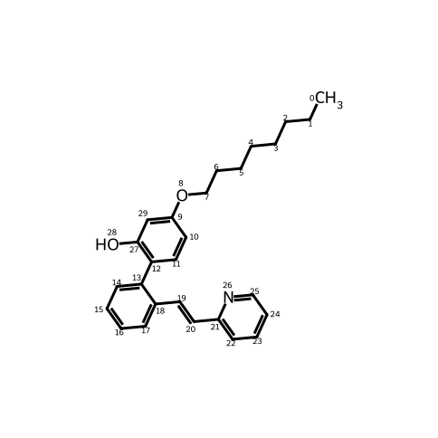 CCCCCCCCOc1ccc(-c2ccccc2/C=C/c2ccccn2)c(O)c1